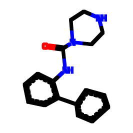 O=C(Nc1ccccc1-c1ccccc1)N1CCNCC1